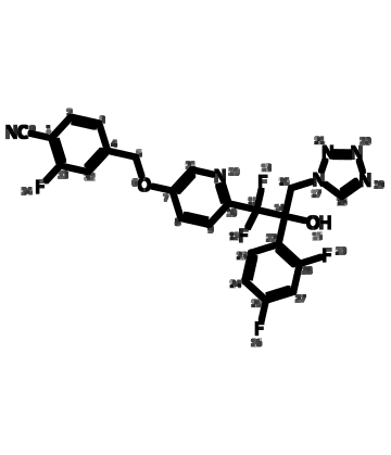 N#Cc1ccc(COc2ccc(C(F)(F)C(O)(Cn3cnnn3)c3ccc(F)cc3F)nc2)cc1F